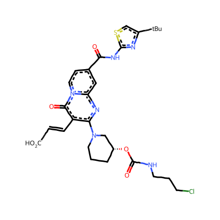 CC(C)(C)c1csc(NC(=O)c2ccn3c(=O)c(C=CC(=O)O)c(N4CCC[C@@H](OC(=O)NCCCCl)C4)nc3c2)n1